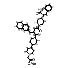 COC(=O)CN1CCC(C2CCN(C(=O)C(CC(=O)N3CCC(N4Cc5ccccc5NC4=O)CC3)Cc3ccc4c(c3)CCCC4)CC2)CC1